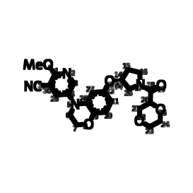 COc1ncc(N2CCOc3ccc(O[C@H]4CCN(C(=O)C5COCCO5)C4)cc32)cc1C#N